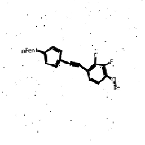 CCCCCc1ccc(C#Cc2ccc(OCC)c(F)c2F)cc1